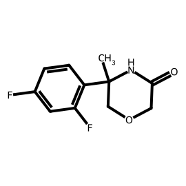 CC1(c2ccc(F)cc2F)COCC(=O)N1